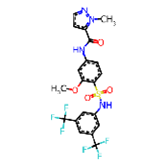 COc1cc(NC(=O)c2ccnn2C)ccc1S(=O)(=O)Nc1cc(C(F)(F)F)cc(C(F)(F)F)c1